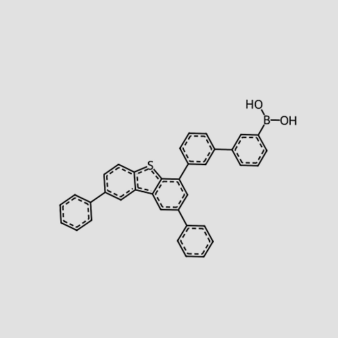 OB(O)c1cccc(-c2cccc(-c3cc(-c4ccccc4)cc4c3sc3ccc(-c5ccccc5)cc34)c2)c1